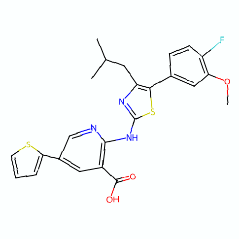 COc1cc(-c2sc(Nc3ncc(-c4cccs4)cc3C(=O)O)nc2CC(C)C)ccc1F